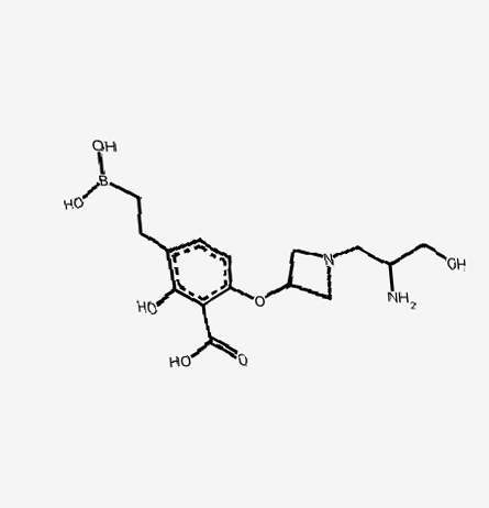 NC(CO)CN1CC(Oc2ccc(CCB(O)O)c(O)c2C(=O)O)C1